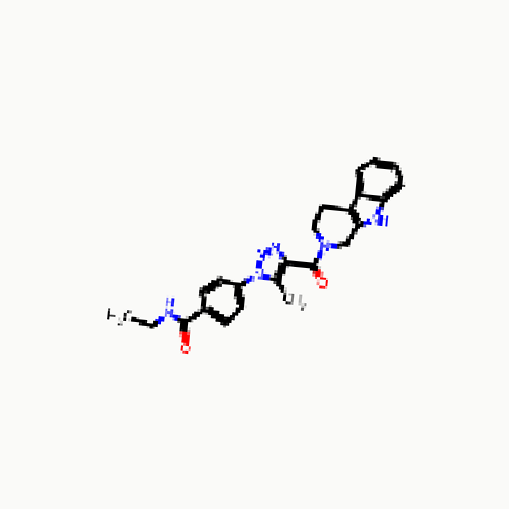 CCNC(=O)c1ccc(-n2nnc(C(=O)N3CCc4c([nH]c5ccccc45)C3)c2C)cc1